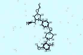 CCOC1CC(CC#N)N(c2ccc(OC3CCN(c4cc(OC)ccc4F)CC3)cc2)C1